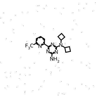 Nc1nc(-c2cccc(C(F)(F)F)n2)nc(N(C2CCC2)C2CCC2)n1